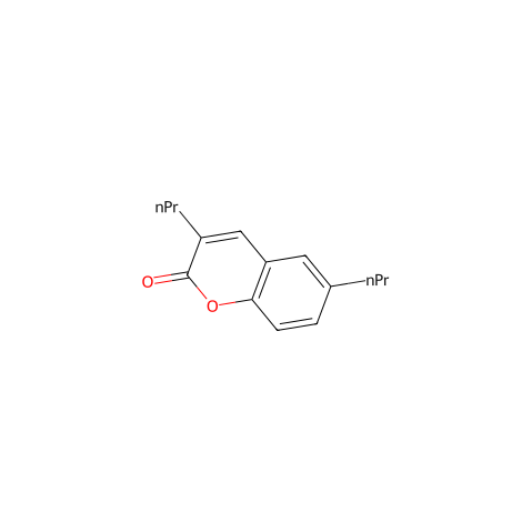 CCCc1ccc2oc(=O)c(CCC)cc2c1